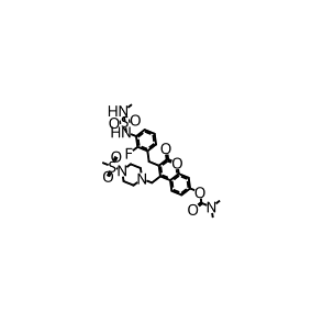 CNS(=O)(=O)Nc1cccc(Cc2c(CN3CCN(S(C)(=O)=O)CC3)c3ccc(OC(=O)N(C)C)cc3oc2=O)c1F